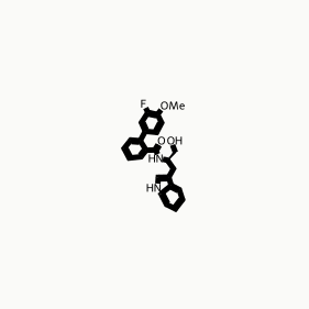 COc1ccc(-c2ccccc2C(=O)N[C@@H](CO)Cc2c[nH]c3ccccc23)cc1F